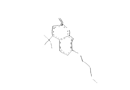 COCCOc1ccc2c(C(F)(F)F)cc(=O)oc2c1